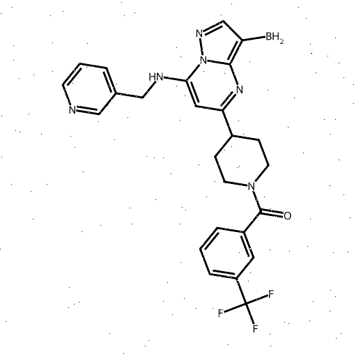 Bc1cnn2c(NCc3cccnc3)cc(C3CCN(C(=O)c4cccc(C(F)(F)F)c4)CC3)nc12